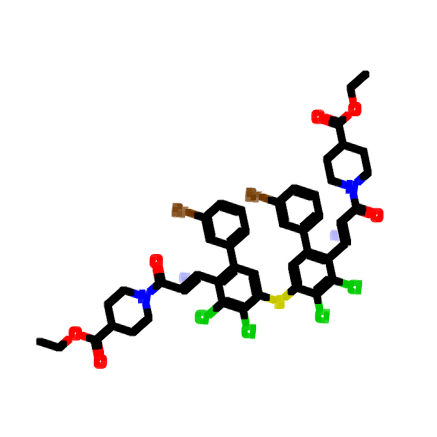 CCOC(=O)C1CCN(C(=O)/C=C/c2c(-c3cccc(Br)c3)cc(Sc3cc(-c4cccc(Br)c4)c(/C=C/C(=O)N4CCC(C(=O)OCC)CC4)c(Cl)c3Cl)c(Cl)c2Cl)CC1